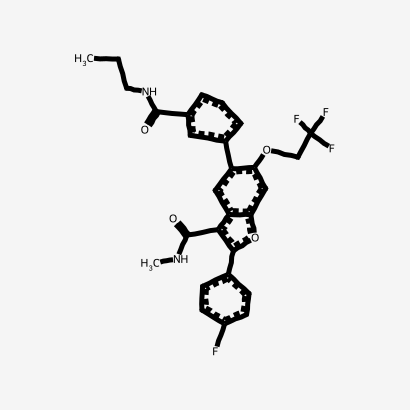 CCCNC(=O)c1cccc(-c2cc3c(C(=O)NC)c(-c4ccc(F)cc4)oc3cc2OCC(F)(F)F)c1